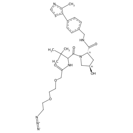 Cc1ncsc1-c1ccc(CNC(=O)[C@@H]2C[C@@H](O)CN2C(=O)C(NC(=O)COCCOCCN=[N+]=[N-])C(C)(C)C)cc1